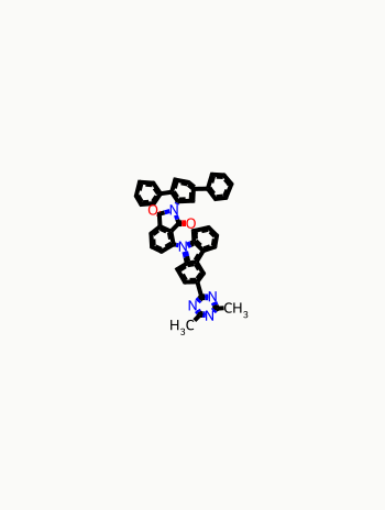 Cc1nc(C)nc(-c2ccc3c(c2)c2ccccc2n3-c2cccc3c2C(=O)N(c2cc(-c4ccccc4)ccc2-c2ccccc2)C3=O)n1